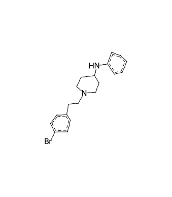 Brc1ccc(CCN2CCC(Nc3ccccc3)CC2)cc1